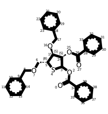 O=C(OC1S[C@H](COCc2ccccc2)[C@@H](OCc2ccccc2)[C@@H]1OC(=O)c1ccccc1)c1ccccc1